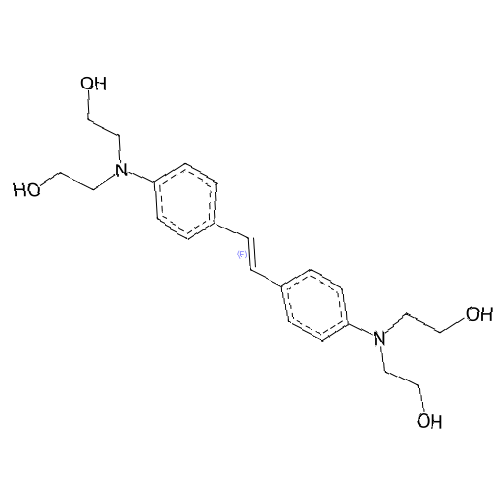 OCCN(CCO)c1ccc(/C=C/c2ccc(N(CCO)CCO)cc2)cc1